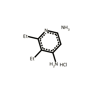 CCc1nccc(N)c1CC.Cl.N